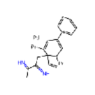 C=CC1(CC(=N)C(C)=N)C(C(C)C)=CC(c2ccccc2)=CC1C(C)C.[Pd]